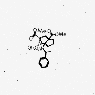 COC(=O)[C@@H]1CC2(C(=O)OC)CCCC2(N[C@@H](C)c2ccccc2)N1C=O